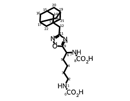 O=C(O)NCCCCC(NC(=O)O)c1nc(CC23CC4CC(CC(C4)C2)C3)no1